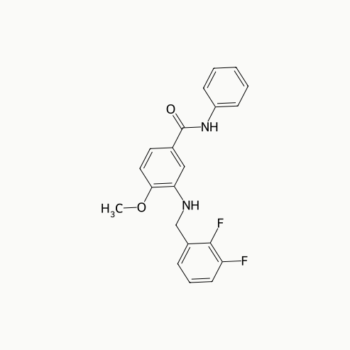 COc1ccc(C(=O)Nc2ccccc2)cc1NCc1cccc(F)c1F